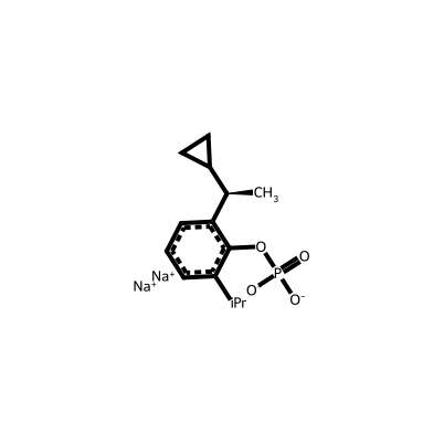 CC(C)c1cccc([C@H](C)C2CC2)c1OP(=O)([O-])[O-].[Na+].[Na+]